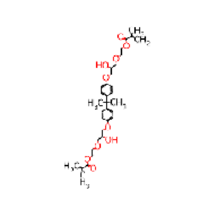 C=C(C)C(=O)OCCOCC(O)COc1ccc(C(C)(C)c2ccc(OCC(O)COCCOC(=O)C(=C)C)cc2)cc1